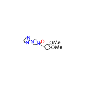 COc1ccc(CC(=O)N2CCN(c3ncccn3)CC2)cc1OC